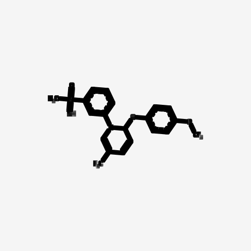 CS(=N)(=O)c1cccc(N2C=C(C(F)(F)F)C=CC2Oc2ccc(OC(F)(F)F)cc2)c1